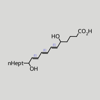 CCCCCCCC(O)/C=C/C=C/C=C/C(O)CCCC(=O)O